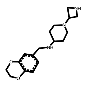 c1cc2c(cc1CNC1CCN(C3CNC3)CC1)OCCO2